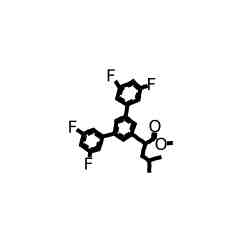 COC(=O)C(CC(C)C)c1cc(-c2cc(F)cc(F)c2)cc(-c2cc(F)cc(F)c2)c1